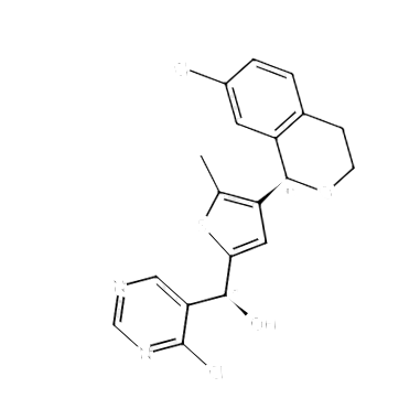 Cc1sc([C@@H](O)c2cncnc2Cl)cc1[C@@H]1OCCc2ccc(Cl)cc21